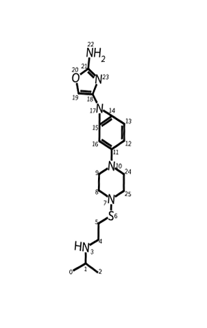 CC(C)NCCSN1CCN(c2ccc3c(c2)N3c2coc(N)n2)CC1